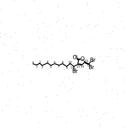 CCCCCCCCCCCC(Br)C1=CC(=C(Br)Br)OC1=O